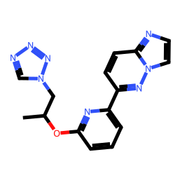 CC(Cn1cnnn1)Oc1cccc(-c2ccc3nccn3n2)n1